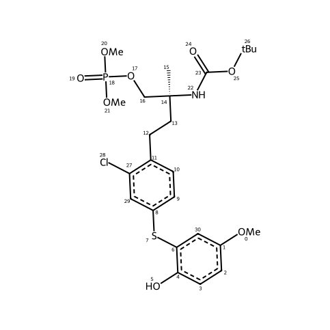 COc1ccc(O)c(Sc2ccc(CC[C@@](C)(COP(=O)(OC)OC)NC(=O)OC(C)(C)C)c(Cl)c2)c1